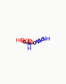 O=C(Cc1ccc(N2CCN(C3CCNCC3)CC2)cc1)N[C@@H](Cc1ccc(O)cc1)C(=O)O